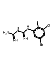 Cc1c(Cl)cc(Br)cc1NC(=N)NC(=N)N